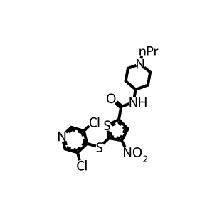 CCCN1CCC(NC(=O)c2cc([N+](=O)[O-])c(Sc3c(Cl)cncc3Cl)s2)CC1